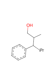 CC(C)C(c1ccccc1)C(C)CO